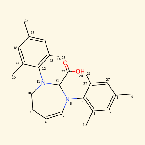 Cc1cc(C)c(N2C=CCCN(c3c(C)cc(C)cc3C)C2C(=O)O)c(C)c1